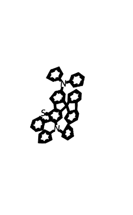 c1ccc(N(c2ccccc2)c2ccc3c(c2)C2(c4ccccc4-c4ccccc42)c2cc(N(c4ccccc4)c4ccccc4)c4c(sc5ccccc54)c2-3)cc1